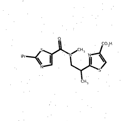 CC(C)c1ncc(C(=O)N(C)CC(C)c2nc(C(=O)O)cs2)s1